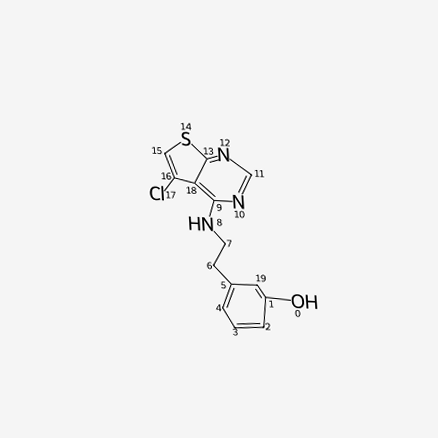 Oc1cccc(CCNc2ncnc3scc(Cl)c23)c1